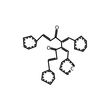 O=C(C=Cc1ccccc1)C(=Cc1ccccc1)C(=Cc1ccccc1)C(=O)C=Cc1ccccc1